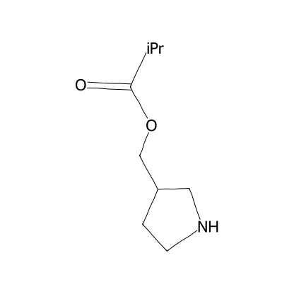 CC(C)C(=O)OCC1CCNC1